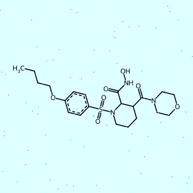 CCCCOc1ccc(S(=O)(=O)N2CCCC(C(=O)N3CCOCC3)C2C(=O)NO)cc1